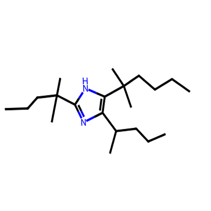 CCCCC(C)(C)c1[nH]c(C(C)(C)CCC)nc1C(C)CCC